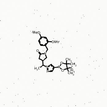 COc1ccc(CN2CC(C(C)n3cc(B4OC(C)(C)C(C)(C)O4)cn3)CC2=O)c(OC)c1